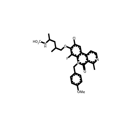 COc1ccc(Cn2c(=O)c3c(C)nccc3c3cc(Cl)c(OCC(C)CC(C)NC(=O)O)c(F)c32)cc1